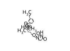 CC=Cc1cccc(S(=O)(=O)NC(C)(C)CCCOCn2ccc(=O)[nH]c2=O)c1